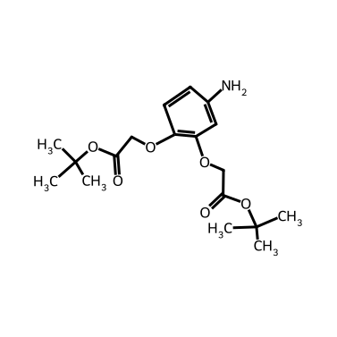 CC(C)(C)OC(=O)COc1ccc(N)cc1OCC(=O)OC(C)(C)C